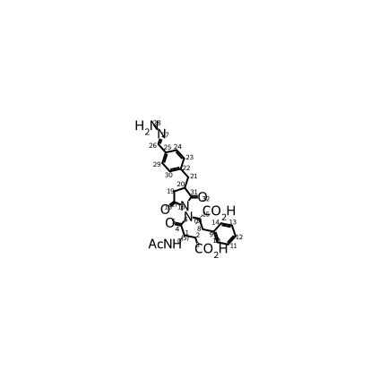 CC(=O)N[C@@H](CC(=O)O)C(=O)N([C@@H](Cc1ccccc1)C(=O)O)N1C(=O)CC(Cc2ccc(C=NN)cc2)C1=O